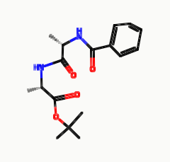 C[C@H](NC(=O)c1ccccc1)C(=O)N[C@@H](C)C(=O)OC(C)(C)C